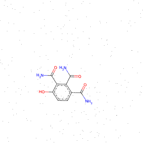 NC(=O)c1ccc(O)c(C(N)=O)c1C(N)=O